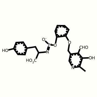 Cc1ncc(COc2ccccc2O/[P+]([O-])=N/C(Cc2ccc(O)cc2)C(=O)O)c(C=O)c1O